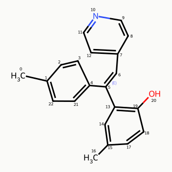 Cc1ccc(/C(=C\c2ccncc2)c2cc(C)ccc2O)cc1